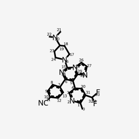 Cc1ncc(-c2c(-c3ccc(C#N)cc3)nc(N3CCC(N(C)C)CC3)n3ccnc23)cc1C(F)F